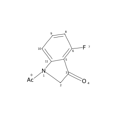 CC(=O)N1CC(=O)c2c(F)cccc21